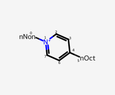 CCCCCCCCC[n+]1ccc(CCCCCCCC)cc1